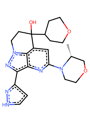 C[C@@H]1COCCN1c1cc2c3c(n1)c(-c1cc[nH]n1)nn3CCC2(O)C1CCOCC1